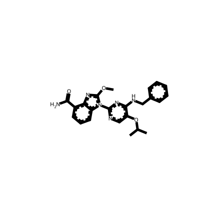 COc1nc2c(C(N)=O)cccc2n1-c1ncc(OC(C)C)c(NCc2ccccc2)n1